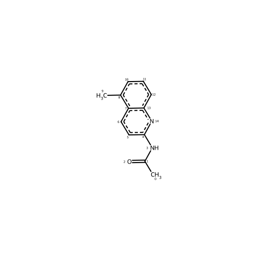 CC(=O)Nc1ccc2c(C)cccc2n1